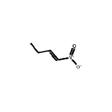 CC/C=C/[N+](=O)[O-]